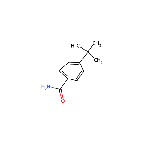 CC(C)(C)c1c[c]c(C(N)=O)cc1